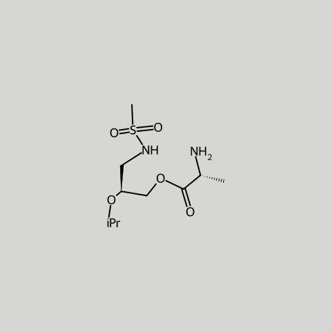 CC(C)O[C@@H](CNS(C)(=O)=O)COC(=O)[C@@H](C)N